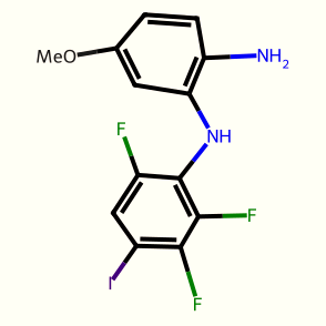 COc1ccc(N)c(Nc2c(F)cc(I)c(F)c2F)c1